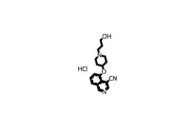 Cl.N#Cc1cncc2cccc(OC3CCN(CCCO)CC3)c12